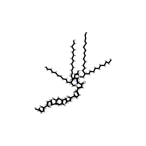 CCCCCCCCCCCCCCC(CCCCCCCCCC)CN1C(C)=CC(=O)/C1=C1/C(=O)C=C(c2ccc(-c3cc4sc5cc6c(cc5c4s3)sc3cc(-c4ccc(C)s4)sc36)s2)N1CC(CCCCCCCCCC)CCCCCCCCCCCCCC